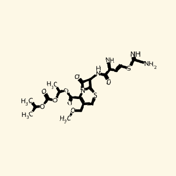 COCC1=C(C(=O)OC(C)OC(=O)OC(C)C)N2C(=O)C(NC(=O)C(=N)/C=C/SC(=N)N)C2SC1